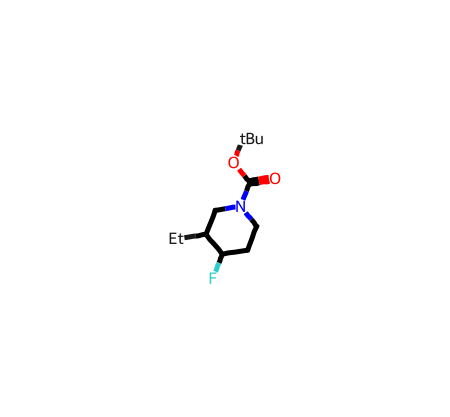 CCC1CN(C(=O)OC(C)(C)C)CCC1F